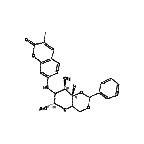 CO[C@H]1OC2COC(c3ccccc3)O[C@H]2[C@H](O)C1Nc1ccc2cc(C)c(=O)oc2c1